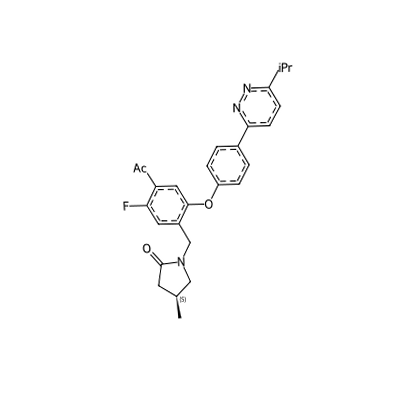 CC(=O)c1cc(Oc2ccc(-c3ccc(C(C)C)nn3)cc2)c(CN2C[C@@H](C)CC2=O)cc1F